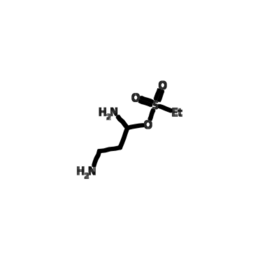 CCS(=O)(=O)OC(N)CCN